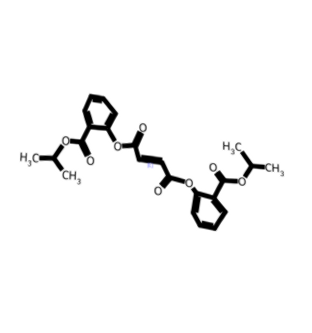 CC(C)OC(=O)c1ccccc1OC(=O)/C=C/C(=O)Oc1ccccc1C(=O)OC(C)C